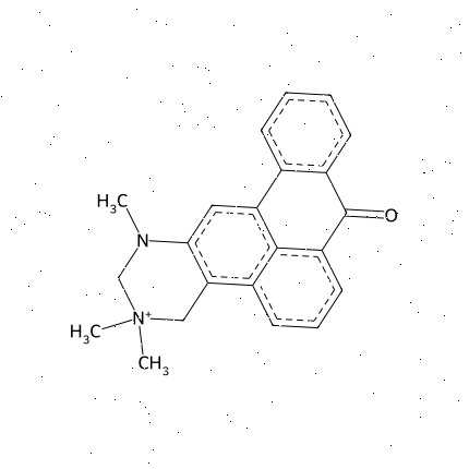 CN1C[N+](C)(C)Cc2c1cc1c3c(cccc23)C(=O)c2ccccc2-1